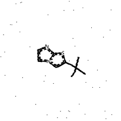 CC(C)(C)c1cn2ccnc2s1